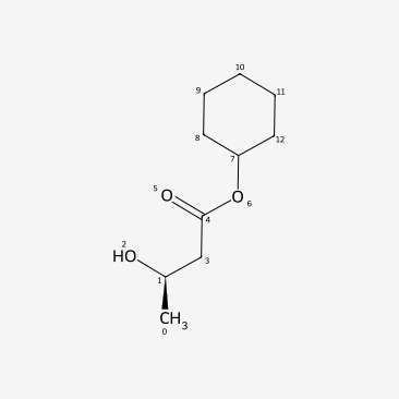 C[C@@H](O)CC(=O)OC1CCCCC1